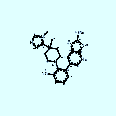 Cn1cnnc1C1(F)CCN(c2c(C#N)cccc2-c2cnc3nc(C(C)(C)C)[nH]c3c2)CC1